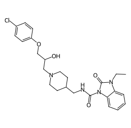 CCn1c(=O)n(C(=O)NCC2CCN(CC(O)COc3ccc(Cl)cc3)CC2)c2ccccc21